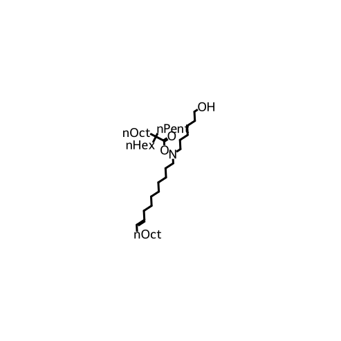 CCCCCCCCC=CCCCCCCCCN(CCCCCCO)OC(=O)C(CCCCC)(CCCCCC)CCCCCCCC